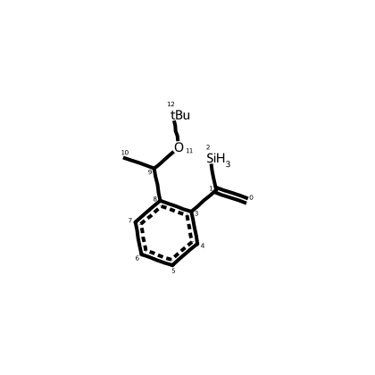 C=C([SiH3])c1ccccc1C(C)OC(C)(C)C